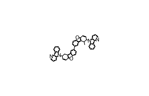 CC1c2c(oc3ccc(-c4ccc5oc6c(c5c4)CC(n4c5ccccc5c5ncccc54)C=C6)cc23)C=CC1n1c2ccccc2c2ncccc21